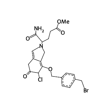 COC(=O)CCC(C(N)=O)N1C=C2CC(=O)C(Cl)C(OCc3ccc(CBr)cc3)=C2C1